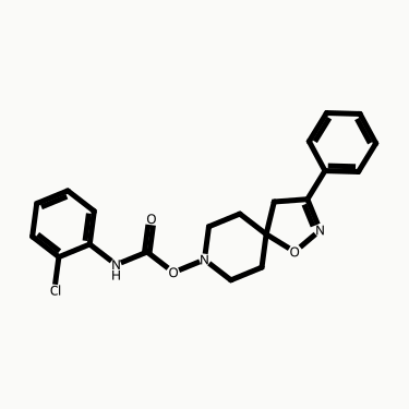 O=C(Nc1ccccc1Cl)ON1CCC2(CC1)CC(c1ccccc1)=NO2